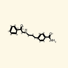 NC(=O)c1ccc(CCCNCC(=O)c2ccccc2)cc1